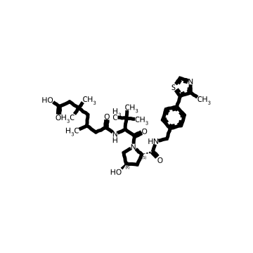 Cc1ncsc1-c1ccc(CNC(=O)[C@@H]2C[C@@H](O)CN2C(=O)C(NC(=O)CC(C)CC(C)(C)CC(=O)O)C(C)(C)C)cc1